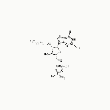 COCCO[C@H]1C(O)[C@@H](COP(=O)(O)OP(C)(=O)O)O[C@H]1n1cnc2c(=O)[nH]c(N)nc21